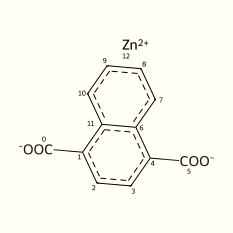 O=C([O-])c1ccc(C(=O)[O-])c2ccccc12.[Zn+2]